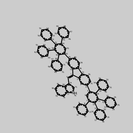 C(=C1c2cc(-c3cc(-c4ccccc4)c(-c4ccccc4)c(-c4ccccc4)c3-c3ccccc3)ccc2-c2ccc(-c3cc(-c4ccccc4)c(-c4ccccc4)c(-c4ccccc4)c3-c3ccccc3)cc21)c1c[nH]c2ccccc12